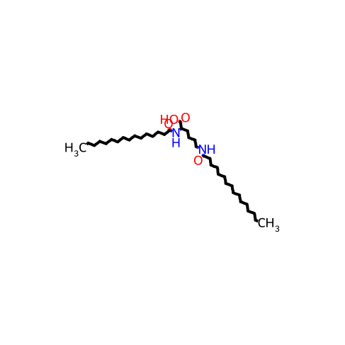 CCCCCCCCCCCCCCCC(=O)NCCCCC(NC(=O)CCCCCCCCCCCCCCC)C(=O)O